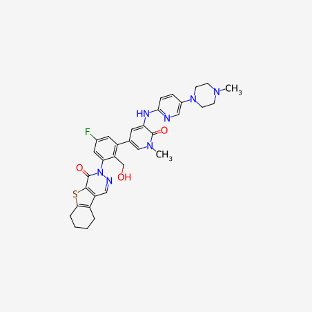 CN1CCN(c2ccc(Nc3cc(-c4cc(F)cc(-n5ncc6c7c(sc6c5=O)CCCC7)c4CO)cn(C)c3=O)nc2)CC1